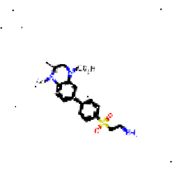 CC(=O)N1c2ccc(-c3ccc(S(=O)(=O)CCN)cc3)cc2N(C(=O)O)C[C@@H]1C